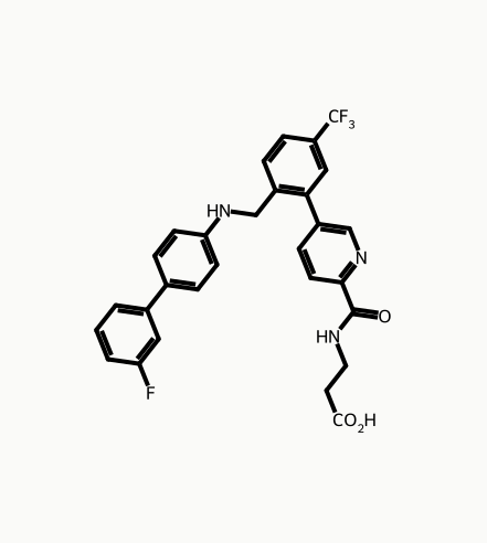 O=C(O)CCNC(=O)c1ccc(-c2cc(C(F)(F)F)ccc2CNc2ccc(-c3cccc(F)c3)cc2)cn1